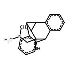 CN(C)CC1(O)C2c3ccccc3C3C(c4ccccc42)C31